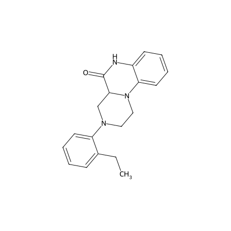 CCc1ccccc1N1CCN2c3ccccc3NC(=O)C2C1